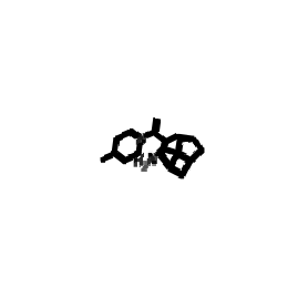 C=C(C1CC2CC3CC(C1)C3(CN)C2)N1CCC(C)CC1